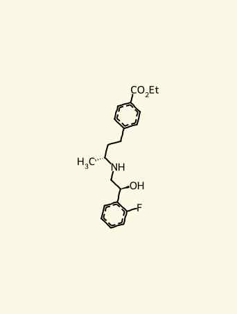 CCOC(=O)c1ccc(CC[C@@H](C)NC[C@@H](O)c2ccccc2F)cc1